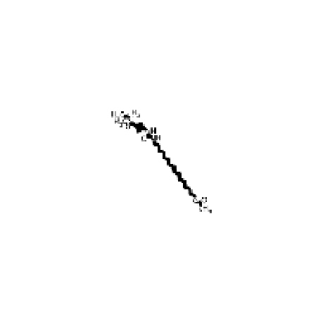 CC(=O)OCCCCCCCCCCCCCCCCNC(=O)NC12CC(C(=O)OC(C)(C)C)(C1)C2